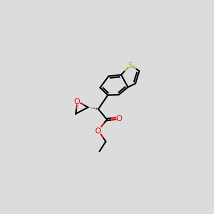 CCOC(=O)C(c1ccc2sccc2c1)[C@@H]1CO1